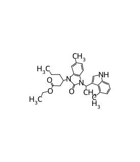 CCCC(CC(=O)OCC)n1c(=O)n(C(C)c2c[nH]c3cccc(C)c23)c2ccc(C)cc21